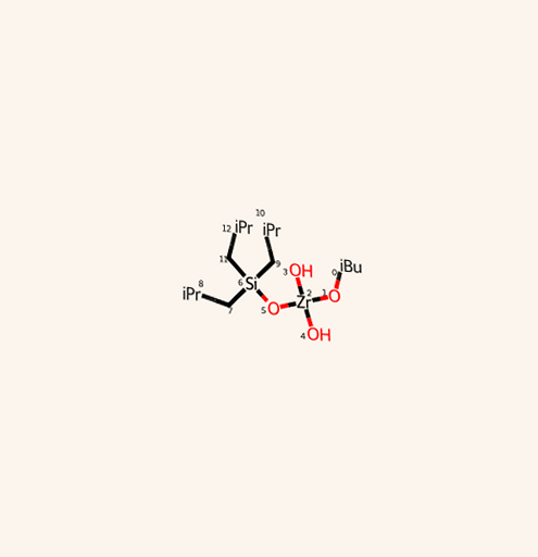 CCC(C)[O][Zr]([OH])([OH])[O][Si](CC(C)C)(CC(C)C)CC(C)C